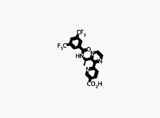 C[C@@H](NC(=O)c1cc(C(F)(F)F)cc(C(F)(F)F)c1)c1nccnc1-c1ccc(C(=O)O)cn1